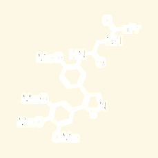 CCCC(=O)NCC(=O)Nc1cc(-c2cnsc2-c2cc(OC)c(OC)c(OC)c2)ccc1OC